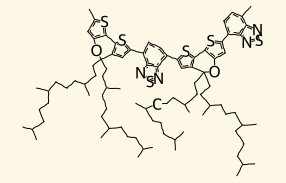 Cc1cc2c(s1)-c1sc(-c3ccc(-c4cc5c(s4)-c4sc(-c6ccc(C)c7nsnc67)cc4OC5(CCC(C)CCCC(C)CCCC(C)C)CCC(C)CCCC(C)CCCC(C)C)c4nsnc34)cc1C(CCC(C)CCCC(C)CCCC(C)C)(CCC(C)CCCC(C)CCCC(C)C)O2